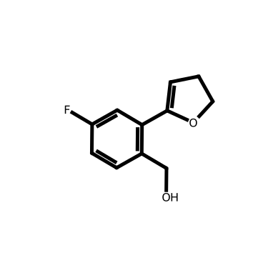 OCc1ccc(F)cc1C1=CCCO1